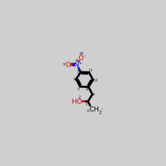 [CH2]C(O)Cc1ccc([N+](=O)[O-])cc1